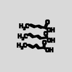 C/C=C/C=C/C(=O)O.C/C=C/C=C/C(=O)O.C/C=C/C=C/C(=O)O